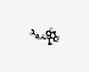 C=CC(=O)N1CC(NC(=O)Cn2c(C3CC3)c(-c3cncnc3C3CC3)c3cc(Cl)ccc32)C1